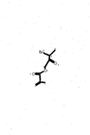 C=C(C)C(=O)OCC(=O)C(C)Br